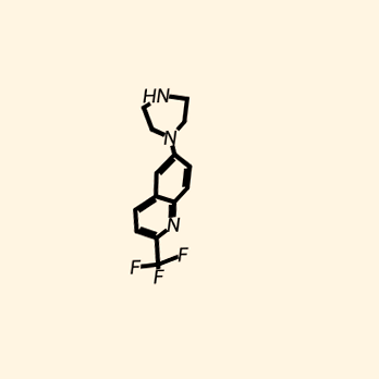 FC(F)(F)c1ccc2cc(N3CCNCC3)ccc2n1